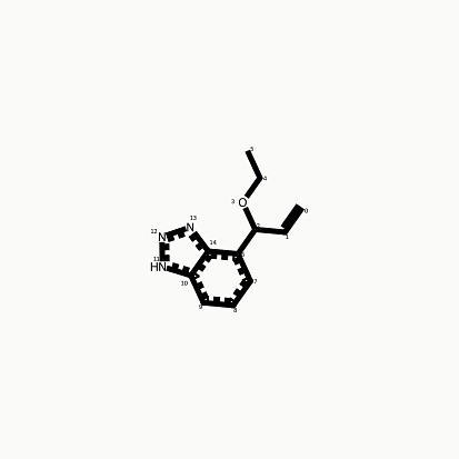 C=CC(OCC)c1cccc2[nH]nnc12